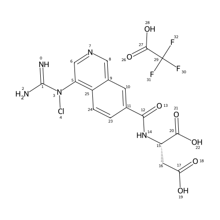 N=C(N)N(Cl)c1cncc2cc(C(=O)N[C@@H](CC(=O)O)C(=O)O)ccc12.O=C(O)C(F)(F)F